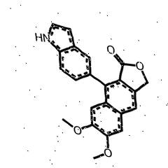 COc1cc2cc3c(c(-c4ccc5[nH]ccc5c4)c2cc1OC)C(=O)OC3